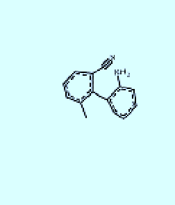 Cc1cccc(C#N)c1-c1ccccc1N